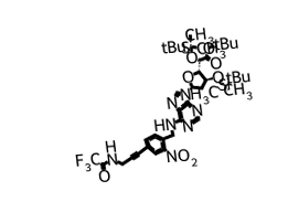 CC(C)(C)OC(=O)C(O[Si](C)(C)C(C)(C)C)[C@H]1O[C@@H](n2cnc3c(NCc4ccc(C#CCNC(=O)C(F)(F)F)cc4[N+](=O)[O-])ncnc32)C[C@@H]1O[Si](C)(C)C(C)(C)C